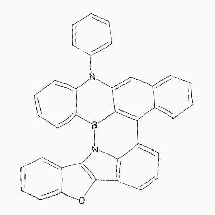 c1ccc(N2c3ccccc3B3c4c2cc2ccccc2c4-c2cccc4c5oc6ccccc6c5n3c24)cc1